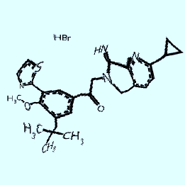 Br.COc1c(-c2nccs2)cc(C(=O)CN2Cc3ccc(C4CC4)nc3C2=N)cc1C(C)(C)C